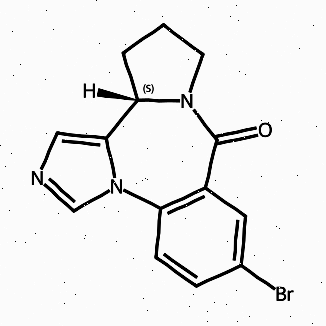 O=C1c2cc(Br)ccc2-n2cncc2[C@@H]2CCCN12